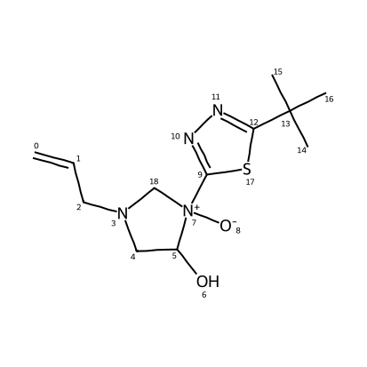 C=CCN1CC(O)[N+]([O-])(c2nnc(C(C)(C)C)s2)C1